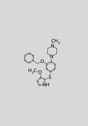 COc1cc[nH]c1Sc1ccc(N2CCN(C)CC2)c(OCc2ccccc2)c1